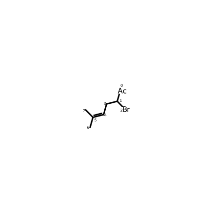 CC(=O)C(Br)CC=C(C)C